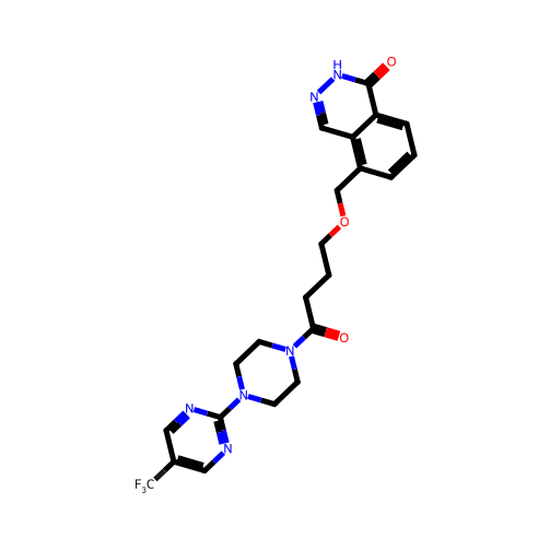 O=C(CCCOCc1cccc2c(=O)[nH]ncc12)N1CCN(c2ncc(C(F)(F)F)cn2)CC1